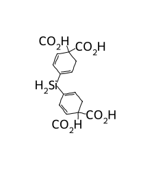 O=C(O)C1(C(=O)O)C=CC([SiH2]C2=CCC(C(=O)O)(C(=O)O)C=C2)=CC1